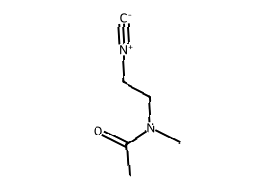 [C-]#[N+]CCN(C)C(C)=O